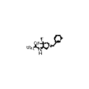 CC(C)(C)C(=O)NC1CN(Cc2ccccc2)CC1(F)F